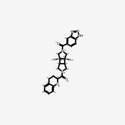 O=C(c1ccc2[nH]nnc2c1)N1C[C@@H]2C3CN(C(=O)C4CCc5ccccc5O4)CC3[C@@H]2C1